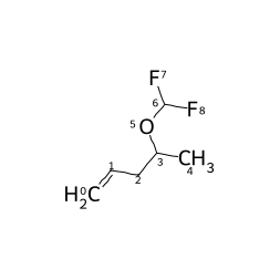 C=CCC(C)OC(F)F